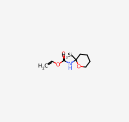 C=COC(=O)NC1([SiH3])CCCCO1